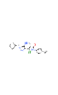 CC(C)c1ccc(NC(=O)c2cnc3c(ncn3Cc3ccccc3)c2Cl)cc1